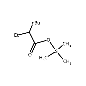 CCCCC(CC)C(=O)O[Si](C)(C)C